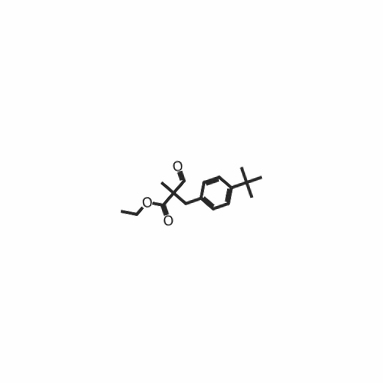 CCOC(=O)C(C)(C=O)Cc1ccc(C(C)(C)C)cc1